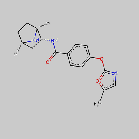 O=C(N[C@@H]1C[C@H]2CC[C@@H]1N2)c1ccc(Oc2ncc(C(F)(F)F)o2)cc1